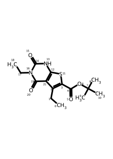 CCc1c(C(=O)OC(C)(C)C)sc2[nH]c(=O)n(CC)c(=O)c12